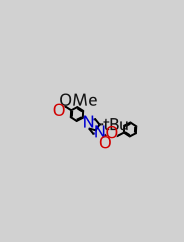 COC(=O)c1ccc(N2CC3(C(C)(C)C)CC2CN3C(=O)OCc2ccccc2)cc1